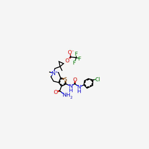 CC1(C[N+]2(C)CCc3c(sc(NC(=O)Nc4ccc(Cl)cc4)c3C(N)=O)C2)CC1.O=C([O-])C(F)(F)F